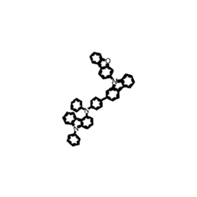 c1ccc(N(c2ccc(-c3ccc4c5ccccc5n(-c5ccc6c(c5)oc5ccccc56)c4c3)cc2)c2cccc3c2c2ccccc2n3-c2ccccc2)cc1